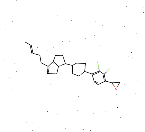 C/C=C/CCC1=CCC2C1CCC2C1CCC(c2ccc(C3CO3)c(F)c2F)CC1